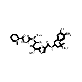 CCCCCCN(C(=O)[C@@H](NC(=O)C1CCCCN1C)[C@@H](C)CC)[C@H](C[C@@H](OC(C)=O)c1nc(C(=O)NC(Cc2ccc(N)c(O)c2)CC(C)(C)C(=O)O)cs1)C(C)C